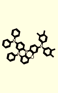 Cc1ccc(N(c2ccc(C)c(C)c2)c2ccc3c(c2)Oc2cccc4c2B3c2ccc(N(c3ccccc3)c3ccccc3)cc2N4c2ccccc2)cc1C